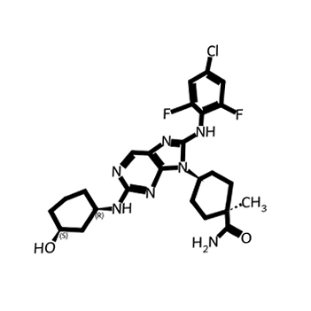 C[C@]1(C(N)=O)CC[C@@H](n2c(Nc3c(F)cc(Cl)cc3F)nc3cnc(N[C@@H]4CCC[C@H](O)C4)nc32)CC1